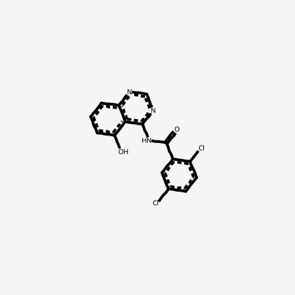 O=C(Nc1ncnc2cccc(O)c12)c1cc(Cl)ccc1Cl